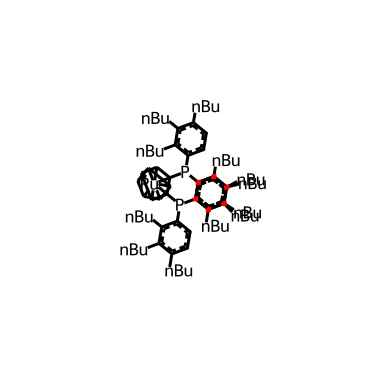 CCCCc1ccc(P(c2ccc(CCCC)c(CCCC)c2CCCC)[C]23[CH]4[CH]5[CH]6[C]2(P(c2ccc(CCCC)c(CCCC)c2CCCC)c2ccc(CCCC)c(CCCC)c2CCCC)[Ru]54632789[CH]3[CH]2[CH]7[CH]8[CH]39)c(CCCC)c1CCCC